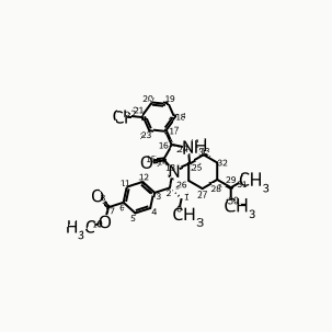 CC[C@H](c1ccc(C(=O)OC)cc1)N1C(=O)C(c2cccc(Cl)c2)NC12CCC(C(C)C)CC2